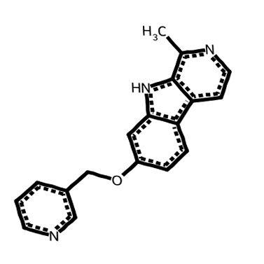 Cc1nccc2c1[nH]c1cc(OCc3cccnc3)ccc12